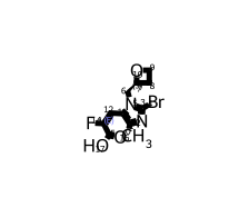 Cc1nc(Br)n(C[C@@H]2CCO2)c1/C=C(/F)C(=O)O